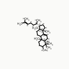 CC(=O)OC1CCC2(C)C3CC[C@@]4(C)[C@H](C(C)CCC=C(C)C)CC[C@]4(C)C3=CC[C@H]2C1(C)C